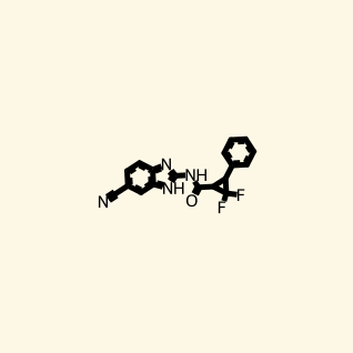 N#Cc1ccc2nc(NC(=O)C3C(c4ccccc4)C3(F)F)[nH]c2c1